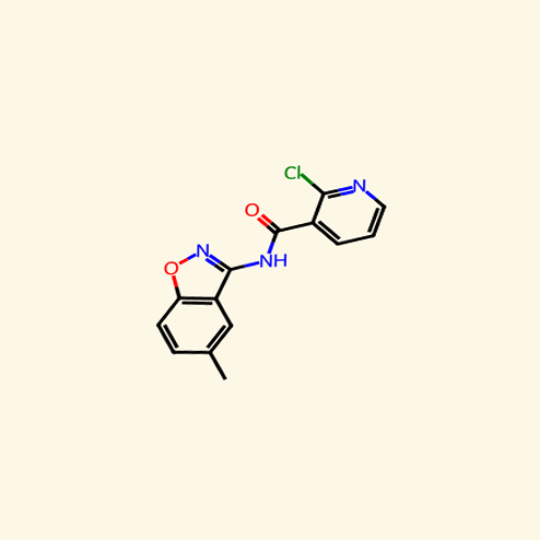 Cc1ccc2onc(NC(=O)c3cccnc3Cl)c2c1